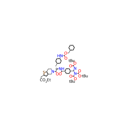 CCOC(=O)Cc1cc2c(s1)CCN(C(=O)[C@H](Cc1ccc(NC(=O)OCc3ccccc3)cc1)NC(=O)c1ccc(C(=NC(=O)OC(C)(C)C)N(C(=O)OC(C)(C)C)C(=O)OC(C)(C)C)cc1)C2